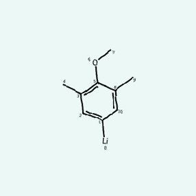 [Li][c]1cc(C)c(OC)c(C)c1